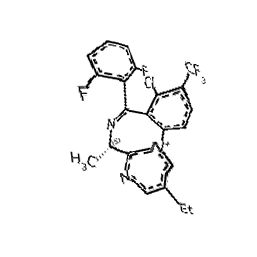 CCc1cnc2[n+](c1)-c1ccc(C(F)(F)F)c(Cl)c1C(c1c(F)cccc1F)=N[C@H]2C